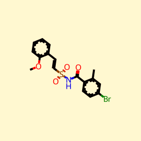 COc1ccccc1C=CS(=O)(=O)NC(=O)c1ccc(Br)cc1C